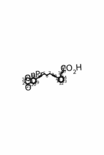 CCCc1c(C#CCCCC#Cc2ccccc2/C=C/C(=O)O)ccc2c1OCCC2=O